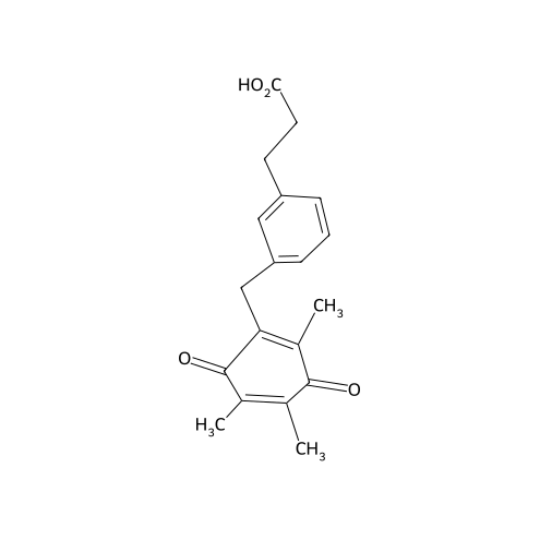 CC1=C(C)C(=O)C(Cc2cccc(CCC(=O)O)c2)=C(C)C1=O